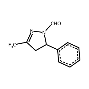 O=CN1N=C(C(F)(F)F)CC1c1ccccc1